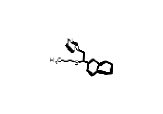 CCCSC(Cn1ccnc1)c1ccc2ccccc2c1